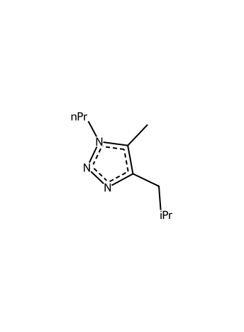 CCCn1nnc(CC(C)C)c1C